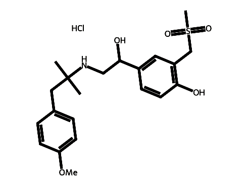 COc1ccc(CC(C)(C)NCC(O)c2ccc(O)c(CS(C)(=O)=O)c2)cc1.Cl